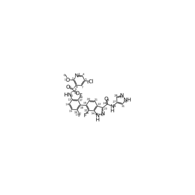 COc1ncc(Cl)cc1S(=O)(=O)Nc1ccc(F)c(-c2ccc3c(C(=O)Nc4cn[nH]c4)n[nH]c3c2F)c1F